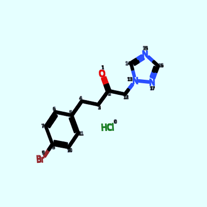 Cl.O=C(CCc1ccc(Br)cc1)Cn1cncn1